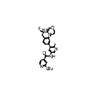 Cc1ncc(NC(=O)c2ccnc(C(C)(C)C)c2)cc1-c1ccc2c(c1)N1CCOC[C@H]1[C@](F)(CF)C2